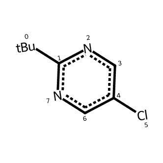 CC(C)(C)c1ncc(Cl)cn1